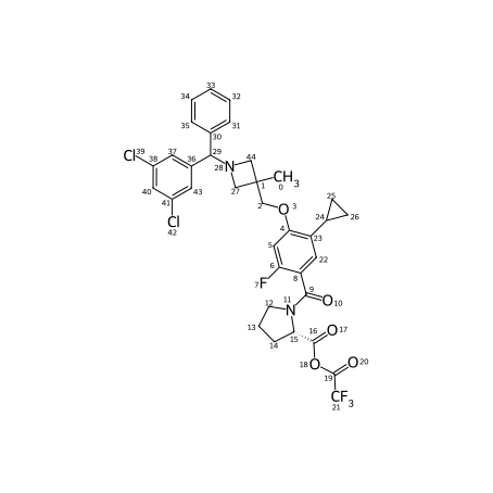 CC1(COc2cc(F)c(C(=O)N3CCC[C@H]3C(=O)OC(=O)C(F)(F)F)cc2C2CC2)CN(C(c2ccccc2)c2cc(Cl)cc(Cl)c2)C1